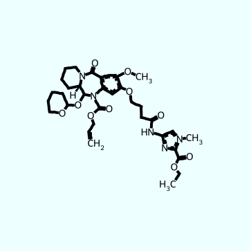 C=CCOC(=O)N1c2cc(OCCCC(=O)Nc3cn(C)c(C(=O)OCC)n3)c(OC)cc2C(=O)N2CCCC[C@H]2C1OC1CCCCO1